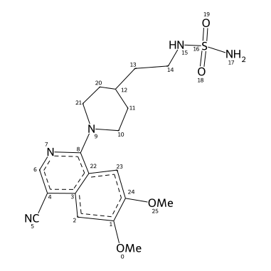 COc1cc2c(C#N)cnc(N3CCC(CCNS(N)(=O)=O)CC3)c2cc1OC